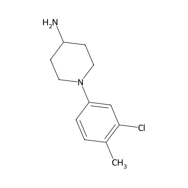 Cc1ccc(N2CCC(N)CC2)cc1Cl